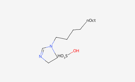 CCCCCCCCCCCCN1C=NCC1.O=S(=O)(O)O